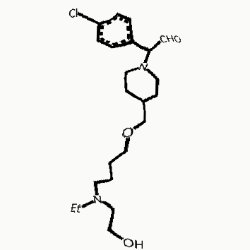 CCN(CCO)CCCCOCC1CCN(C(C=O)c2ccc(Cl)cc2)CC1